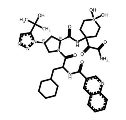 CC(C)(O)c1cnnn1[C@H]1C[C@@H](C(=O)NC2(C(=O)C(N)=O)CCS(O)(O)CC2)N(C(=O)C(CC2CCCCC2)NC(=O)c2cnc3ccccc3c2)C1